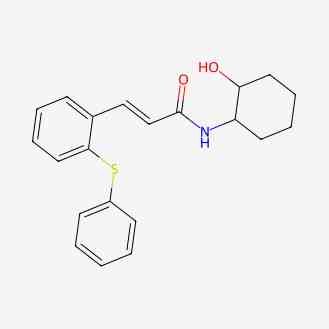 O=C(C=Cc1ccccc1Sc1ccccc1)NC1CCCCC1O